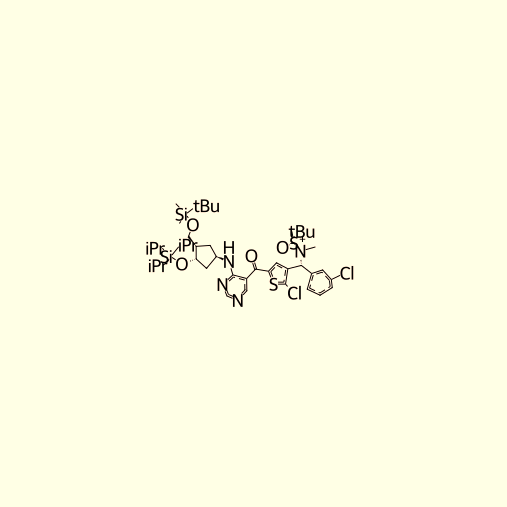 CC(C)[Si](O[C@H]1C[C@H](Nc2ncncc2C(=O)c2cc([C@@H](c3cccc(Cl)c3)N(C)[S+]([O-])C(C)(C)C)c(Cl)s2)C[C@@H]1CO[Si](C)(C)C(C)(C)C)(C(C)C)C(C)C